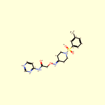 O=C(CON=C1CCN(S(=O)(=O)c2cccc(C(F)(F)F)c2)CC1)Nc1ccncn1